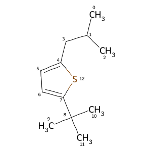 CC(C)Cc1ccc(C(C)(C)C)s1